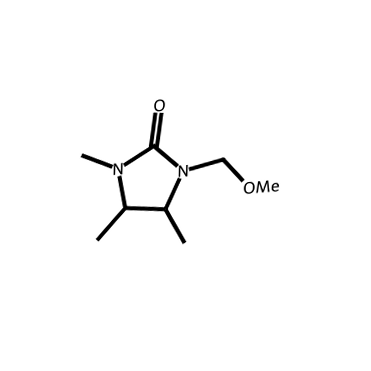 COCN1C(=O)N(C)C(C)C1C